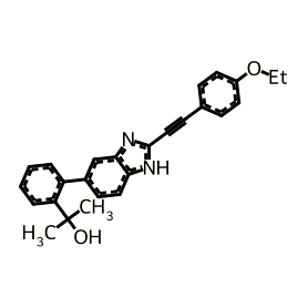 CCOc1ccc(C#Cc2nc3cc(-c4ccccc4C(C)(C)O)ccc3[nH]2)cc1